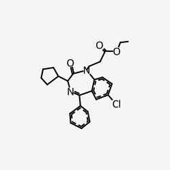 CCOC(=O)CCN1C(=O)C(C2CCCC2)N=C(c2ccccc2)c2cc(Cl)ccc21